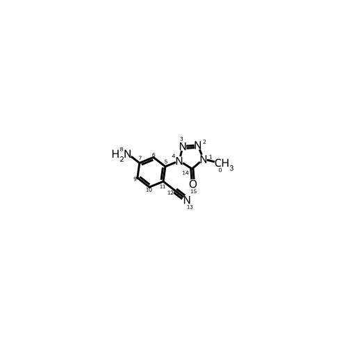 Cn1nnn(-c2cc(N)ccc2C#N)c1=O